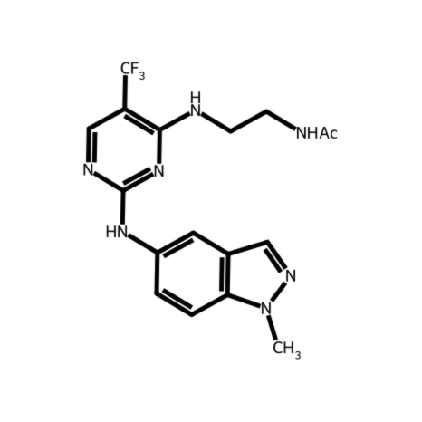 CC(=O)NCCNc1nc(Nc2ccc3c(cnn3C)c2)ncc1C(F)(F)F